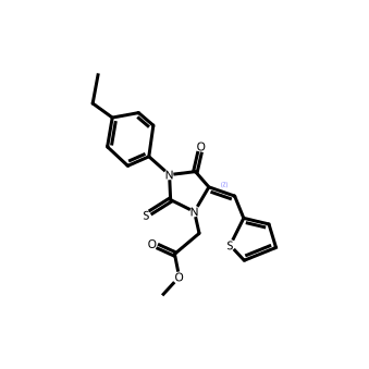 CCc1ccc(N2C(=O)/C(=C/c3cccs3)N(CC(=O)OC)C2=S)cc1